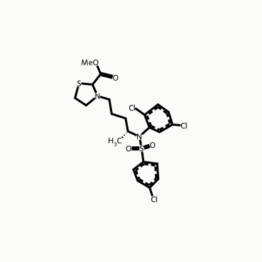 COC(=O)C1SCCN1CCC[C@@H](C)N(c1cc(Cl)ccc1Cl)S(=O)(=O)c1ccc(Cl)cc1